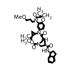 COCCCN1C(=O)C(C)(C)Oc2ccc(N3C(=O)[C@@H]4C[C@H](C(=O)N[C@@H]5CCc6ccccc65)CN(C4)C(=O)OC(C)(C)C4CC43)cc21